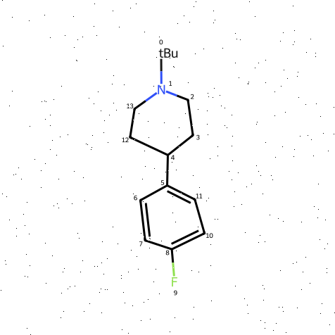 CC(C)(C)N1CCC(c2ccc(F)cc2)CC1